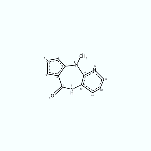 CN1c2cscc2C(=O)Nc2cccnc21